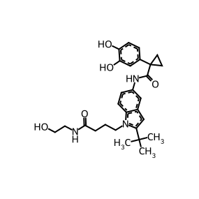 CC(C)(C)c1cc2cc(NC(=O)C3(c4ccc(O)c(O)c4)CC3)ccc2n1CCCC(=O)NCCO